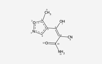 Cc1oncc1C(O)=C(C#N)C(N)=O